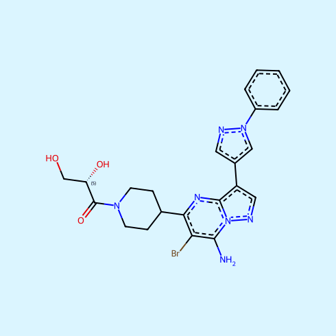 Nc1c(Br)c(C2CCN(C(=O)[C@@H](O)CO)CC2)nc2c(-c3cnn(-c4ccccc4)c3)cnn12